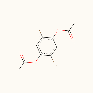 CC(=O)Oc1cc(Br)c(OC(C)=O)cc1Br